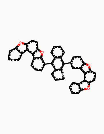 c1ccc2c(c1)oc1ccc3oc4ccc(-c5c6ccccc6c(-c6cccc7c6oc6ccc8oc9ccccc9c8c67)c6ccccc56)cc4c3c12